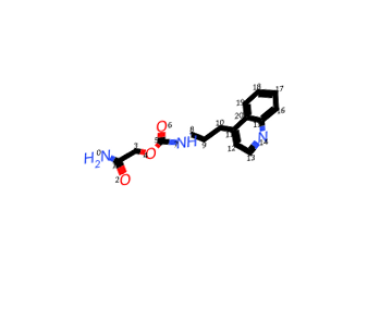 NC(=O)COC(=O)NCCCc1ccnc2ccccc12